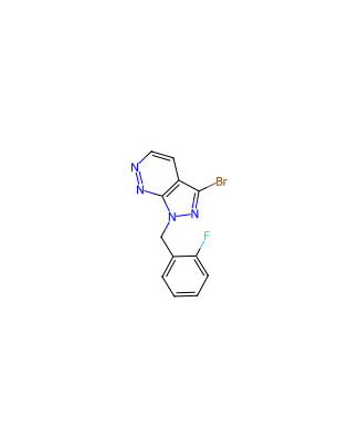 Fc1ccccc1Cn1nc(Br)c2ccnnc21